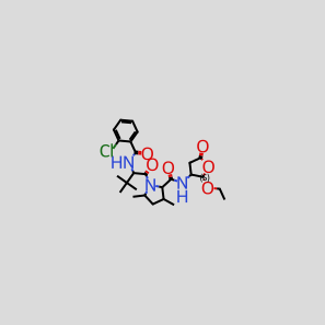 CCO[C@H]1OC(=O)CC1NC(=O)C1C(C)CC(C)N1C(=O)C(NC(=O)c1ccccc1Cl)C(C)(C)C